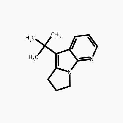 CC(C)(C)c1c2n(c3ncccc13)CCC2